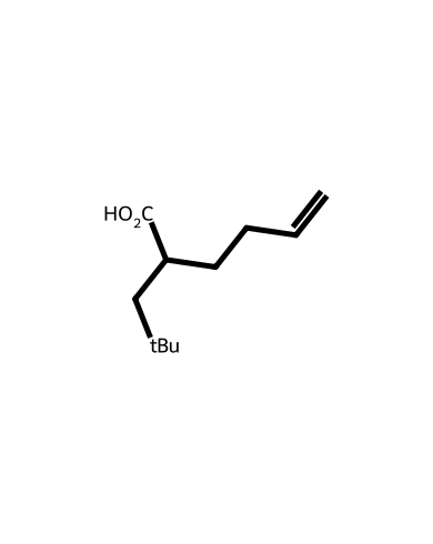 C=CCCC(CC(C)(C)C)C(=O)O